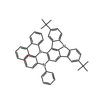 CC(C)(C)c1ccc2c(c1)c1cc3c(c4c5cc(C(C)(C)C)ccc5n2c14)B(c1ccccc1-c1ccccc1)c1ccccc1N3c1ccccc1